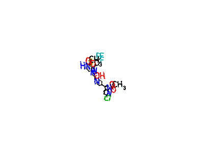 COC(=O)n1cc(C2CCN(CC(O)Cn3nc(-c4ccc(C(F)(F)F)cc4)c4c3CCNC4S(C)(=O)=O)CC2)c2ccc(Cl)nc21